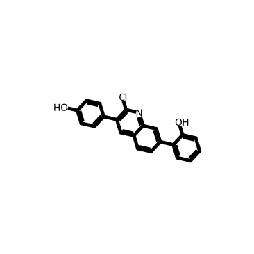 Oc1ccc(-c2cc3ccc(-c4ccccc4O)cc3nc2Cl)cc1